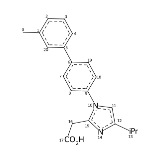 Cc1cccc(-c2ccc(-n3cc(C(C)C)nc3CC(=O)O)cc2)c1